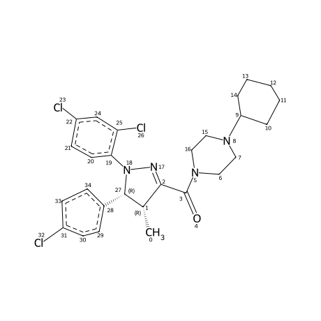 C[C@H]1C(C(=O)N2CCN(C3CCCCC3)CC2)=NN(c2ccc(Cl)cc2Cl)[C@H]1c1ccc(Cl)cc1